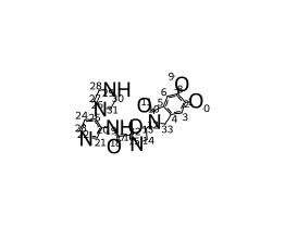 COc1cc2c(cc1OC)C(=O)N(C1CN=C(C(=O)Nc3cnccc3N3CCNCC3)O1)C2